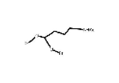 CCOC(CCCNC(C)=O)OCC